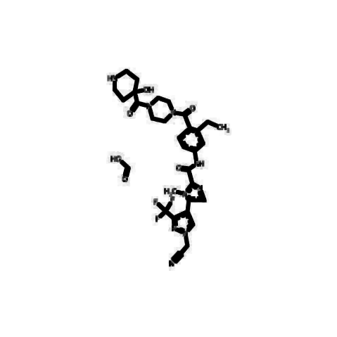 CCc1cc(NC(=O)c2ncc(-c3cn(CC#N)nc3C(F)(F)F)n2C)ccc1C(=O)N1CCN(C(=O)C2(O)CCNCC2)CC1.O=CO